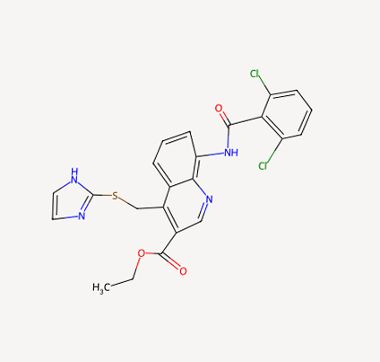 CCOC(=O)c1cnc2c(NC(=O)c3c(Cl)cccc3Cl)cccc2c1CSc1ncc[nH]1